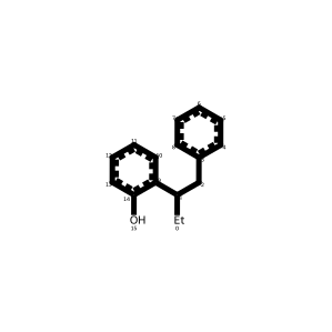 CCC(Cc1ccccc1)c1ccccc1O